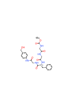 CC(C)(C)OC(=O)NCC(=O)NCC(=O)N[C@@H](Cc1ccccc1)C(=O)NCC(=O)Nc1ccc(CO)cc1